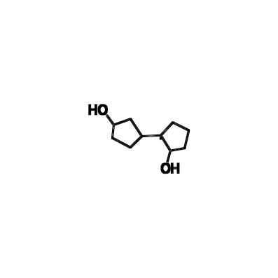 OC1CCC([C]2CCCC2O)C1